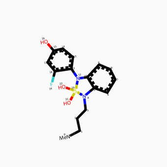 CNCCCN1c2ccccc2N(c2ccc(O)cc2F)S1(O)O